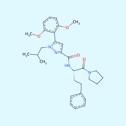 COc1cccc(OC)c1-c1cc(C(=O)N[C@@H](CCc2ccccc2)C(=O)N2CCCC2)nn1CC(C)C